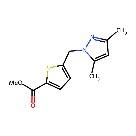 COC(=O)c1ccc(Cn2nc(C)cc2C)s1